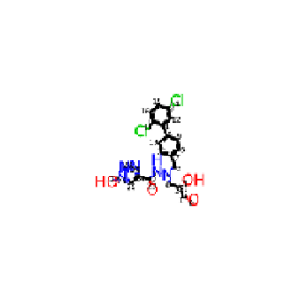 O=C[C@H](O)CN(Cc1ccc(-c2cc(Cl)ccc2Cl)cc1)NC(=O)c1cn(O)nn1